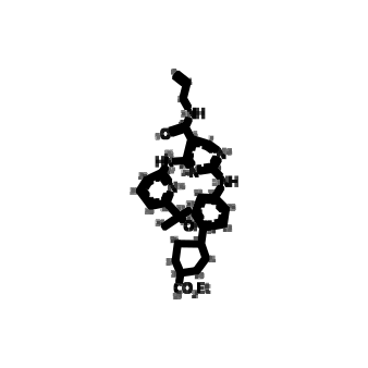 C=CCNC(=O)c1cnc(Nc2ccc(C3CCC(C(=O)OCC)CC3)cc2)nc1Nc1cccc(C(C)(C)O)n1